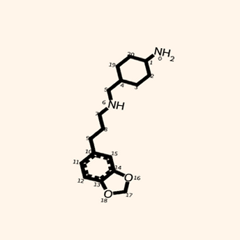 NC1CCC(CNCCCc2ccc3c(c2)OCO3)CC1